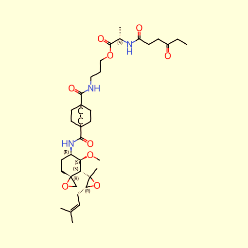 CCC(=O)CCC(=O)N[C@@H](C)C(=O)OCCCNC(=O)C12CCC(C(=O)N[C@@H]3CC[C@]4(CO4)[C@@H](C4(C)O[C@@H]4CC=C(C)C)[C@@H]3OC)(CC1)CC2